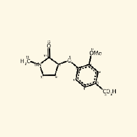 COc1cc(C(=O)O)ccc1OC1CCN(C)C1=O